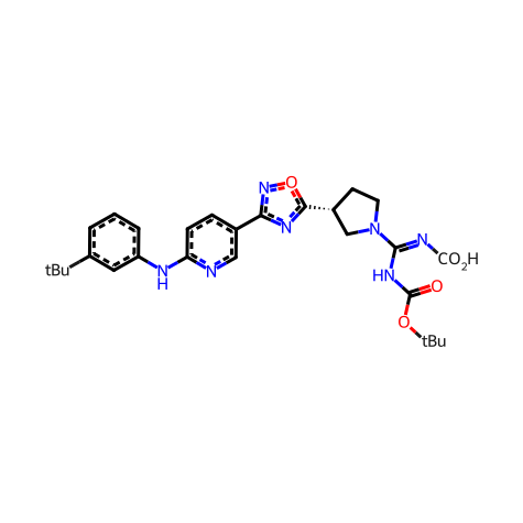 CC(C)(C)OC(=O)N/C(=N\C(=O)O)N1CC[C@@H](c2nc(-c3ccc(Nc4cccc(C(C)(C)C)c4)nc3)no2)C1